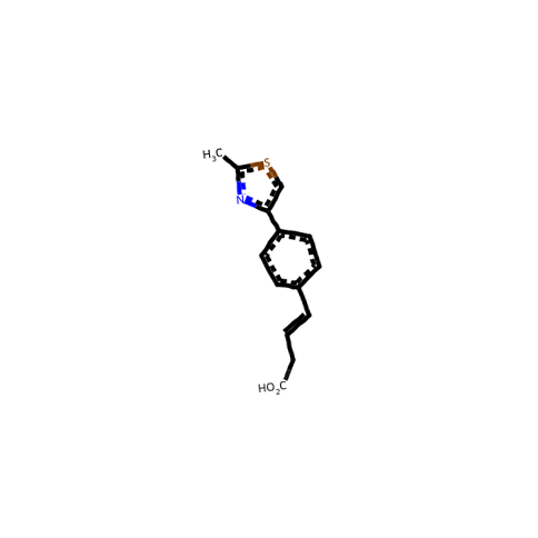 Cc1nc(-c2ccc(C=CCC(=O)O)cc2)cs1